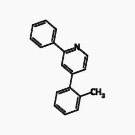 Cc1ccccc1-c1ccnc(-c2ccccc2)c1